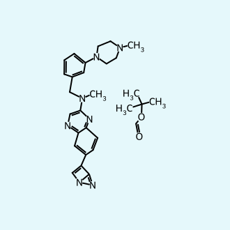 CC(C)(C)OC=O.CN1CCN(c2cccc(CN(C)c3cnc4cc(-c5cn6nc5-6)ccc4n3)c2)CC1